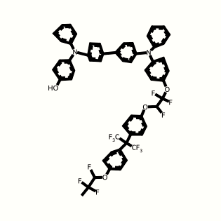 CC(F)(F)C(F)Oc1ccc(C(c2ccc(OC(F)C(F)(F)Oc3ccc(N(c4ccccc4)c4ccc(-c5ccc(N(c6ccccc6)c6ccc(O)cc6)cc5)cc4)cc3)cc2)(C(F)(F)F)C(F)(F)F)cc1